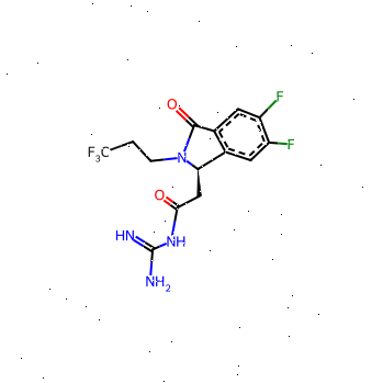 N=C(N)NC(=O)C[C@@H]1c2cc(F)c(F)cc2C(=O)N1CCC(F)(F)F